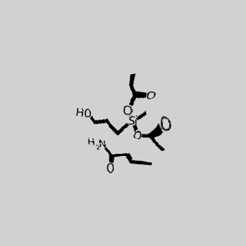 CC(=O)O[Si](C)(CCCO)OC(C)=O.CC=CC(N)=O